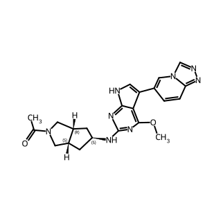 COc1nc(N[C@H]2C[C@@H]3CN(C(C)=O)C[C@@H]3C2)nc2[nH]cc(-c3ccc4nncn4c3)c12